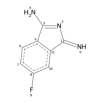 N=C1N=C(N)c2ccc(F)cc21